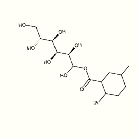 CC1CCC(C(C)C)C(C(=O)OC(O)[C@H](O)[C@@H](O)[C@H](O)[C@H](O)CO)C1